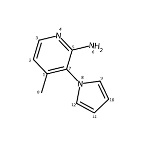 Cc1ccnc(N)c1-n1cccc1